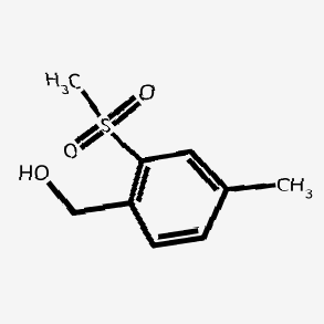 Cc1ccc(CO)c(S(C)(=O)=O)c1